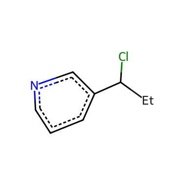 CCC(Cl)c1cccnc1